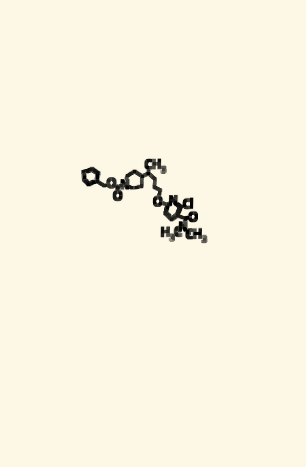 C[C@@H](CCCOc1ccc(C(=O)N(C)C)c(Cl)n1)C1CCN(C(=O)OCc2ccccc2)CC1